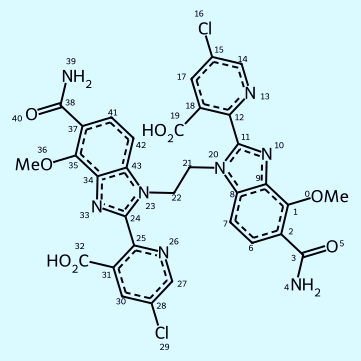 COc1c(C(N)=O)ccc2c1nc(-c1ncc(Cl)cc1C(=O)O)n2CCn1c(-c2ncc(Cl)cc2C(=O)O)nc2c(OC)c(C(N)=O)ccc21